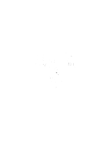 CC(C)(C)C(=O)Nc1cc(CC(C)(C)C(N)=O)cc(NC(=O)C(C)(C)C)c1